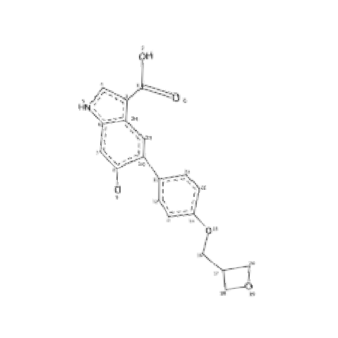 O=C(O)c1c[nH]c2cc(Cl)c(-c3ccc(OCC4COC4)cc3)cc12